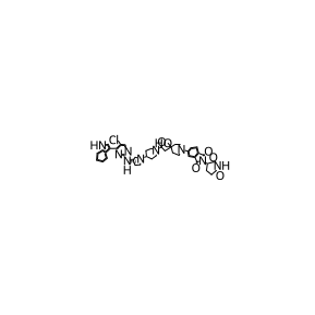 O=C1CCC(N2C(=O)c3ccc(N4CCC(O)(CC(=O)N5CCC(N6CC[C@@H](Nc7ncc(Cl)c(-c8c[nH]c9ccccc89)n7)C6)CC5)CC4)cc3C2=O)C(=O)N1